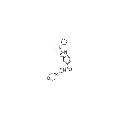 O=C(c1ccc2nc(NC3CCCC3)sc2c1)N1CC(N2CCOCC2)C1